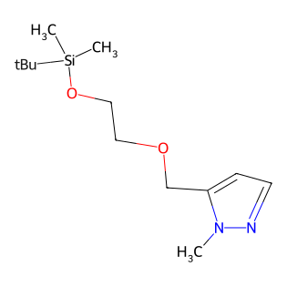 Cn1nccc1COCCO[Si](C)(C)C(C)(C)C